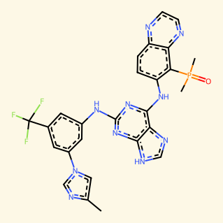 Cc1cn(-c2cc(Nc3nc(Nc4ccc5nccnc5c4P(C)(C)=O)c4nc[nH]c4n3)cc(C(F)(F)F)c2)cn1